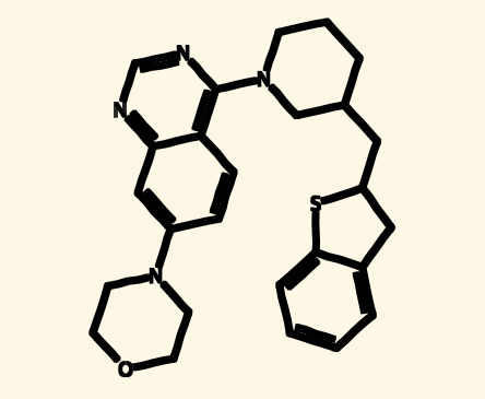 c1ccc2c(c1)CC(CC1CCCN(c3ncnc4cc(N5CCOCC5)ccc34)C1)S2